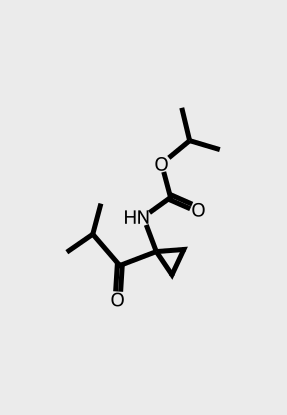 CC(C)OC(=O)NC1(C(=O)C(C)C)CC1